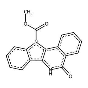 COC(=O)n1c2ccccc2c2[nH]c(=O)c3ccccc3c21